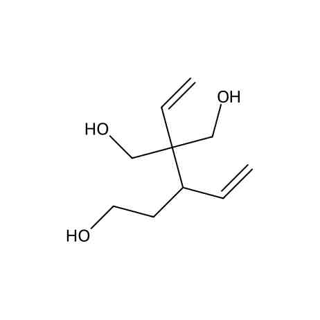 C=CC(CCO)C(C=C)(CO)CO